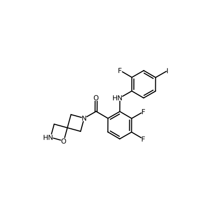 O=C(c1ccc(F)c(F)c1Nc1ccc(I)cc1F)N1CC2(CNO2)C1